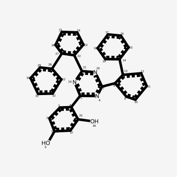 Oc1ccc(-c2nc(-c3ccccc3-c3ccccc3)nc(-c3ccccc3-c3ccccc3)n2)c(O)c1